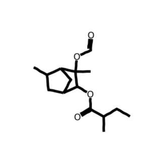 CCC(C)C(=O)OC1C2CC(C)C(C2)C1(C)OC=O